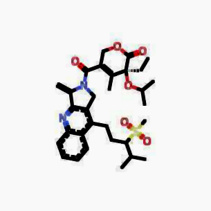 C=C1c2nc3ccccc3c(CCC(C(C)C)S(C)(=O)=O)c2CN1C(=O)C1=C(C)[C@](CC)(OC(C)C)C(=O)OC1